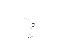 COc1ccc(Br)cc1C=CC(=O)Nc1ccc(OC)c(OCCN(C(C)C)C(C)C)c1